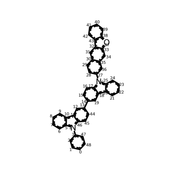 c1ccc(-n2c3ccccc3c3cc(-c4ccc5c(c4)c4ccccc4n5-c4ccc5cc6c(cc5c4)oc4ccccc46)ccc32)cc1